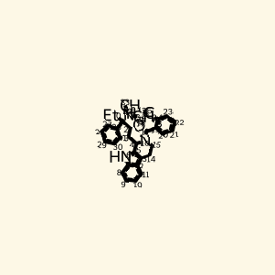 CCC(CCC1c2[nH]c3ccccc3c2CCN1C(=O)c1ccccc1C)(c1ccccc1)N(C)C